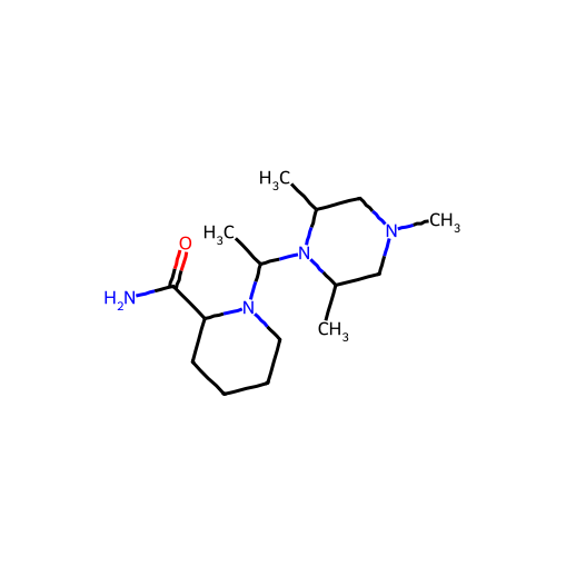 CC1CN(C)CC(C)N1C(C)N1CCCCC1C(N)=O